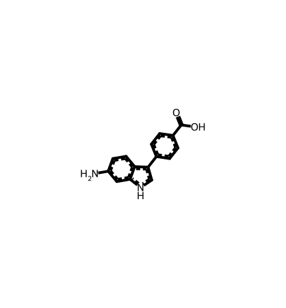 Nc1ccc2c(-c3ccc(C(=O)O)cc3)c[nH]c2c1